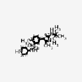 Cc1ccc(-c2sc(NC(C)(C)C)nc2C)cc1S(=O)(=O)NC1CCNCC1